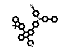 CC1(C)c2ccccc2-c2ccc(-c3c4ccccc4c(-c4ccncc4)c4ccc(-c5ccc(N(c6ccc(C#N)cc6)c6ccc(-c7ccccc7)cc6)cc5)cc34)cc21